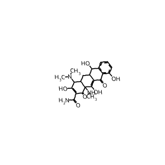 CNC12C(=O)C(C(N)=O)=C(O)C(N(C)C)C1CC1C(=C2O)C(=O)c2c(O)cccc2C1O